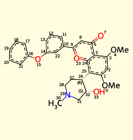 COc1cc(OC)c2c(=O)cc(-c3cccc(Oc4ccccc4)c3)oc2c1[C@H]1CCN(C)C[C@H]1O